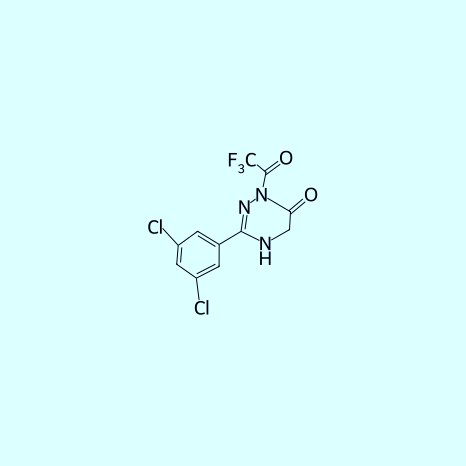 O=C1CNC(c2cc(Cl)cc(Cl)c2)=NN1C(=O)C(F)(F)F